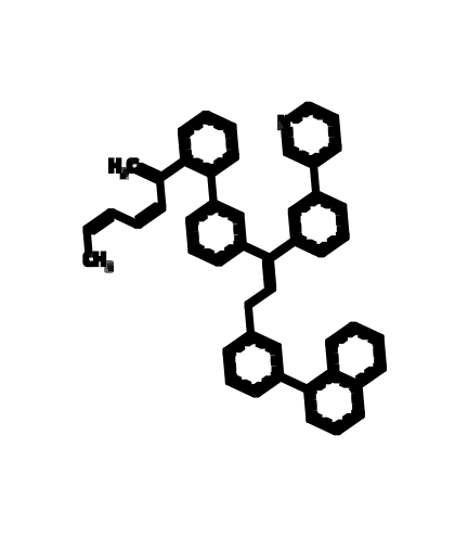 C=C(/C=C\C=C/C)c1ccccc1-c1cccc(/C(=C\Cc2cccc(-c3cccc4ccccc34)c2)c2cccc(-c3cccnc3)c2)c1